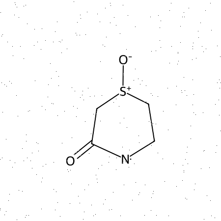 O=C1C[S+]([O-])CC[N]1